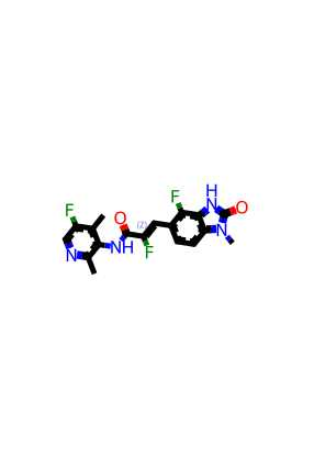 Cc1ncc(F)c(C)c1NC(=O)/C(F)=C/c1ccc2c([nH]c(=O)n2C)c1F